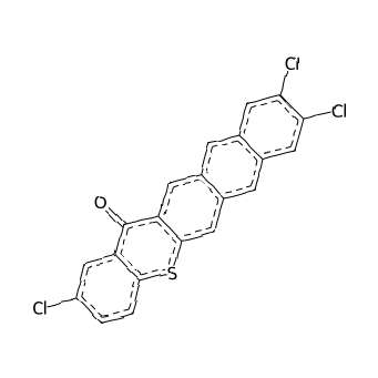 O=c1c2cc(Cl)ccc2sc2cc3cc4cc(Cl)c(Cl)cc4cc3cc12